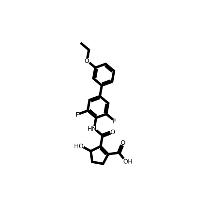 CCOc1cccc(-c2cc(F)c(NC(=O)C3=C(C(=O)O)CCC3O)c(F)c2)c1